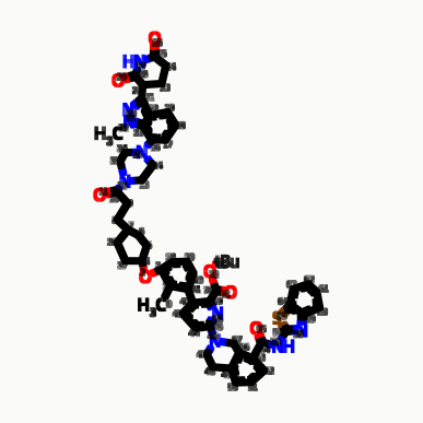 Cc1c(OC2CCC(CCC(=O)N3CCN(c4cccc5c(C6CCC(=O)NC6=O)nn(C)c45)CC3)CC2)cccc1-c1ccc(N2CCc3cccc(C(=O)Nc4nc5ccccc5s4)c3C2)nc1C(=O)OC(C)(C)C